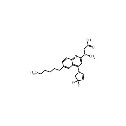 CCCCCCc1ccc2nc(N(C)CC(=O)O)cc(N3C=CC(F)(F)C3)c2c1